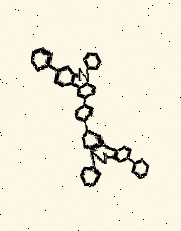 c1ccc(-c2ccc3c4cc(-c5ccc(-c6ccc7c(c6)c6ccc(-c8ccccc8)cc6n7-c6ccccc6)cc5)ccc4n(-c4ccccc4)c3c2)cc1